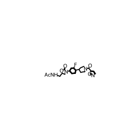 CC(=O)NCC1CN(c2ccc(C3CCN(C(=O)c4ccno4)CC3)c(F)c2)C(=O)O1